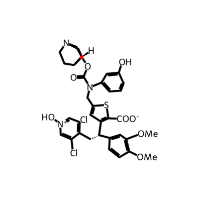 COc1ccc([C@H](Cc2c(Cl)c[n+](O)cc2Cl)c2cc(CN(C(=O)O[C@H]3CN4CCC3CC4)c3cccc(O)c3)sc2C(=O)[O-])cc1OC